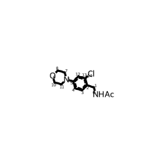 CC(=O)NCc1ccc(N2CCOCC2)cc1Cl